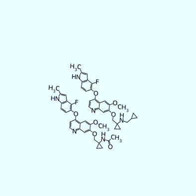 COc1cc2c(Oc3ccc4[nH]c(C)cc4c3F)ccnc2cc1OCC1(NC(C)=O)CC1.COc1cc2c(Oc3ccc4[nH]c(C)cc4c3F)ccnc2cc1OCC1(NCC2CC2)CC1